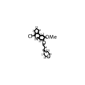 COc1cc2c3c(c(Cl)nc2cc1OCCCN1CCOCC1)CCC3